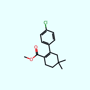 COC(=O)C1=C(c2ccc(Cl)cc2)CC(C)(C)CC1